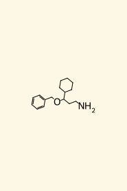 NCCC(OCc1ccccc1)C1CCCCC1